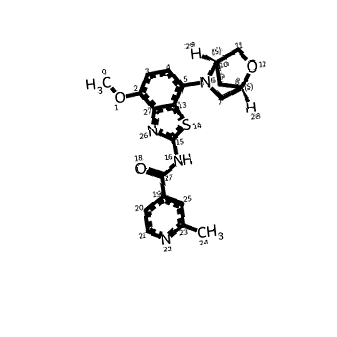 COc1ccc(N2C[C@@H]3C[C@H]2CO3)c2sc(NC(=O)c3ccnc(C)c3)nc12